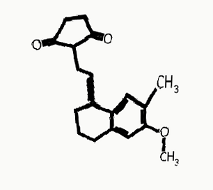 COc1cc2c(cc1C)C(=CCC1C(=O)CCC1=O)CCC2